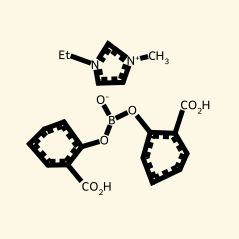 CCn1cc[n+](C)c1.O=C(O)c1ccccc1OB([O-])Oc1ccccc1C(=O)O